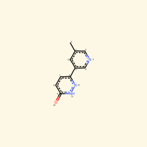 Cc1cncc(-c2ccc(=O)[nH]n2)c1